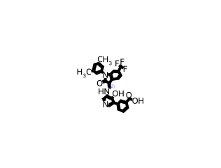 Cc1cc(C)cc(N2C(=O)/C(=C\Nc3cncc(-c4cccc(C(=O)O)c4)c3O)c3ccc(C(F)(F)F)cc32)c1